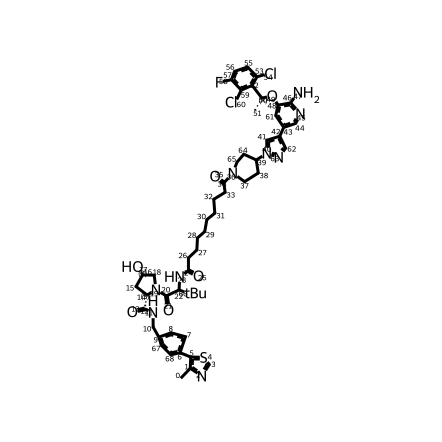 Cc1ncsc1-c1ccc(CNC(=O)[C@@H]2C[C@@H](O)CN2C(=O)C(NC(=O)CCCCCCCCC(=O)N2CCC(n3cc(-c4cnc(N)c(O[C@H](C)c5c(Cl)ccc(F)c5Cl)c4)cn3)CC2)C(C)(C)C)cc1